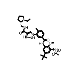 CCN1CCC[C@H]1CNC(=O)C1=CN(c2cc(C(=O)Nc3cc(C(C)(C)C)cc(NS(C)(=O)=O)c3OC)ccc2C)NN1